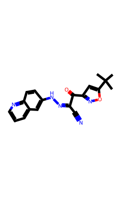 CC(C)(C)c1cc(C(=O)C(C#N)=NNc2ccc3ncccc3c2)no1